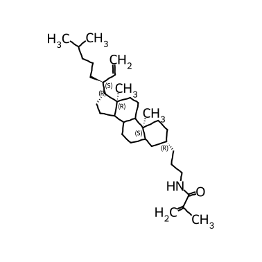 C=C[C@H](CCCC(C)C)[C@H]1CCC2C3CCC4C[C@@H](CCCNC(=O)C(=C)C)CC[C@]4(C)C3CC[C@@]21C